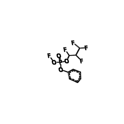 O=P(OF)(Oc1ccccc1)OC(F)C(F)C(F)F